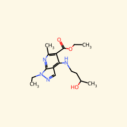 CCOC(=O)c1c(C)nc2c(cnn2CC)c1NCCC(C)O